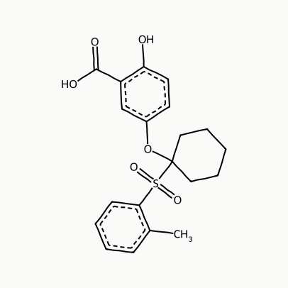 Cc1ccccc1S(=O)(=O)C1(Oc2ccc(O)c(C(=O)O)c2)CCCCC1